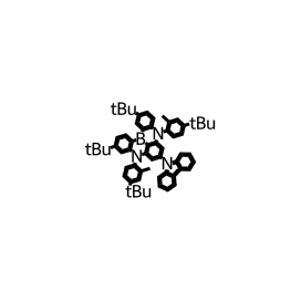 Cc1cc(C(C)(C)C)ccc1N1c2ccc(C(C)(C)C)cc2B2c3ccc(C(C)(C)C)cc3N(c3ccc(C(C)(C)C)cc3C)c3cc(-n4c5ccccc5c5ccccc54)cc1c32